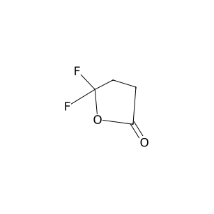 O=C1CCC(F)(F)O1